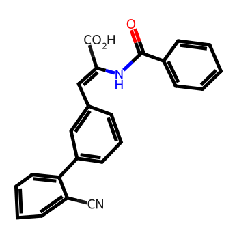 N#Cc1ccccc1-c1cccc(/C=C(\NC(=O)c2ccccc2)C(=O)O)c1